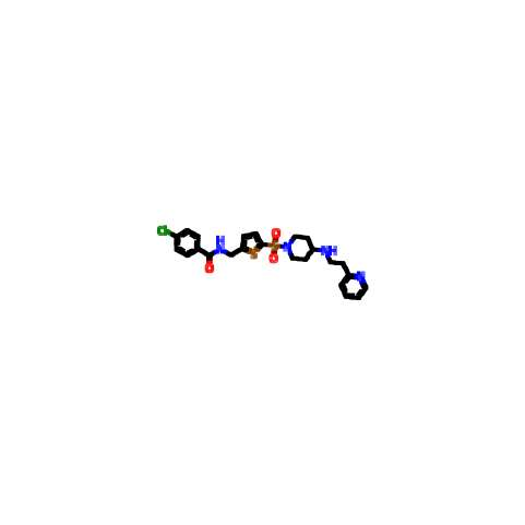 O=C(NCc1ccc(S(=O)(=O)N2CCC(NCCc3ccccn3)CC2)s1)c1ccc(Cl)cc1